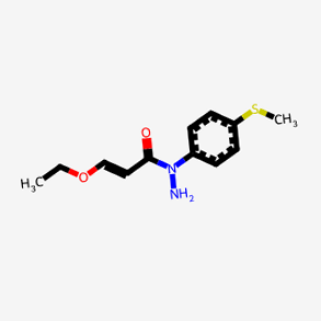 CCOC=CC(=O)N(N)c1ccc(SC)cc1